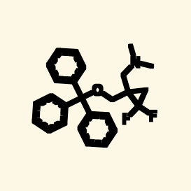 CN(C)CC1(COC(c2ccccc2)(c2ccccc2)c2ccccc2)CC1(F)F